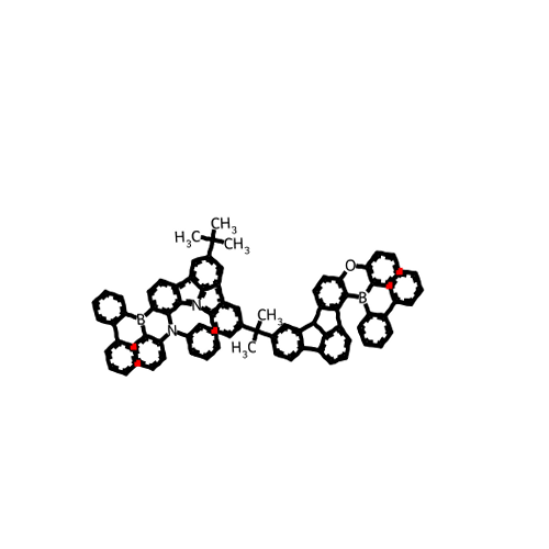 CC(C)(C)c1cc2c3cc(C(C)(C)c4ccc5c(c4)C4c6ccc7c(c6-c6cccc-5c64)B(c4ccccc4-c4ccccc4)c4ccccc4O7)ccc3n3c4c5c(ccc4c(c1)c23)B(c1ccccc1-c1ccccc1)c1ccccc1N5c1ccccc1